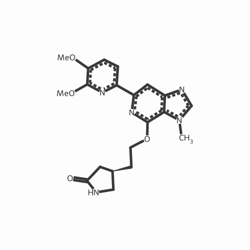 COc1ccc(-c2cc3ncn(C)c3c(OCC[C@H]3CNC(=O)C3)n2)nc1OC